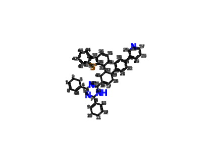 C1=CCCC(C2=NC(C3=CCCC=C3)NC(C3=CCC(c4ccc(-c5cccnc5)cc4)C(C4CC=Cc5c4sc4ccccc54)C3)=N2)=C1